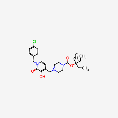 CCC(CC)(CC)OC(=O)N1CCN(Cc2ccn(Cc3ccc(Cl)cc3)c(=O)c2O)CC1